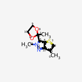 Cc1csc2c(C3(C)OCCO3)n(C)nc12